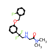 CN(C)C(=O)CNCC(F)(F)c1cccc(OCc2ccccc2F)c1